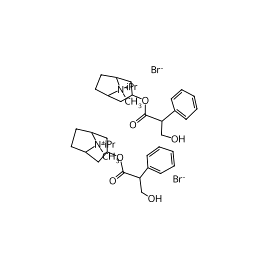 CC(C)[N+]1(C)C2CCC1CC(OC(=O)C(CO)c1ccccc1)C2.CC(C)[N+]1(C)C2CCC1CC(OC(=O)C(CO)c1ccccc1)C2.[Br-].[Br-]